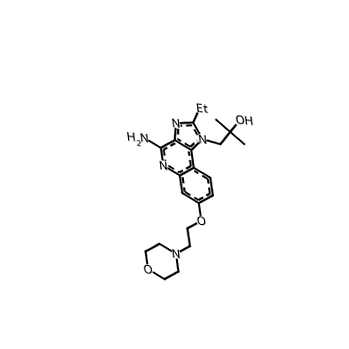 CCc1nc2c(N)nc3cc(OCCN4CCOCC4)ccc3c2n1CC(C)(C)O